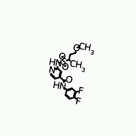 COCCC(C)S(=O)(=O)Nc1cc(C(=O)Nc2ccc(F)c(F)c2)ccn1